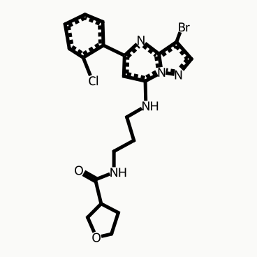 O=C(NCCCNc1cc(-c2ccccc2Cl)nc2c(Br)cnn12)C1CCOC1